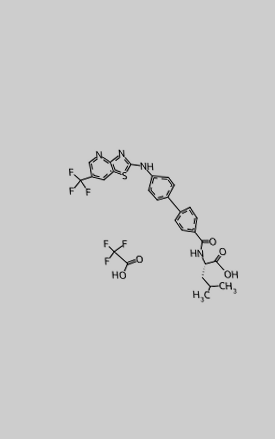 CC(C)C[C@H](NC(=O)c1ccc(-c2ccc(Nc3nc4ncc(C(F)(F)F)cc4s3)cc2)cc1)C(=O)O.O=C(O)C(F)(F)F